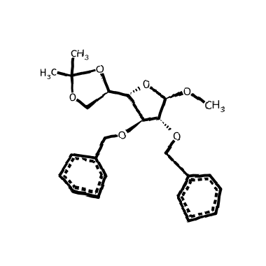 CO[C@@H]1O[C@@H]([C@H]2COC(C)(C)O2)[C@H](OCc2ccccc2)[C@H]1OCc1ccccc1